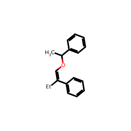 CCC(=COC(C)c1ccccc1)c1ccccc1